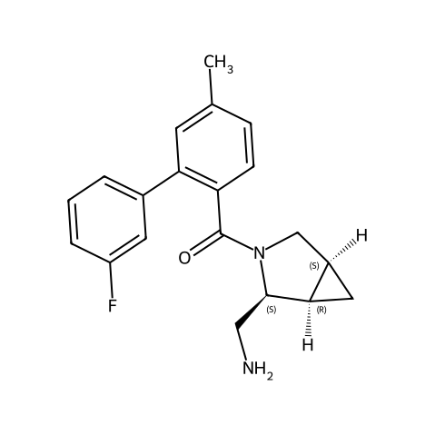 Cc1ccc(C(=O)N2C[C@H]3C[C@H]3[C@H]2CN)c(-c2cccc(F)c2)c1